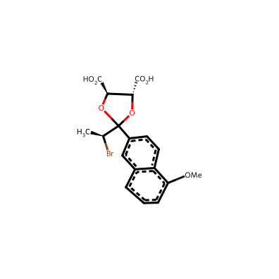 COc1cccc2cc(C3([C@H](C)Br)O[C@@H](C(=O)O)[C@H](C(=O)O)O3)ccc12